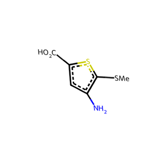 CSc1sc(C(=O)O)cc1N